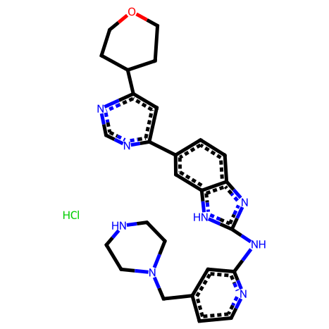 Cl.c1cc(CN2CCNCC2)cc(Nc2nc3ccc(-c4cc(C5CCOCC5)ncn4)cc3[nH]2)n1